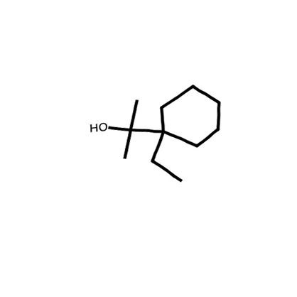 CCC1(C(C)(C)O)CCCCC1